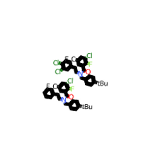 CC(C)(C)c1ccc(CN(CCc2ccc(Cl)c(Cl)c2)C(=O)c2cc(C(F)(F)F)cc(Cl)c2F)cc1.CC(C)(C)c1ccc(CN(CCc2ccccc2)C(=O)c2cc(C(F)(F)F)cc(Cl)c2F)cc1